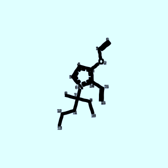 C=COc1ccn(C(C)(CC)CCC)c1C=C